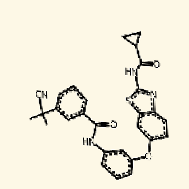 CC(C)(C#N)c1cccc(C(=O)Nc2cccc(Oc3ccc4nc(NC(=O)C5CC5)sc4c3)c2)c1